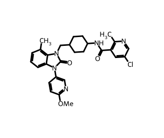 COc1ccc(-n2c(=O)n(CC3CCC(NC(=O)c4cc(Cl)cnc4C)CC3)c3c(C)cccc32)cn1